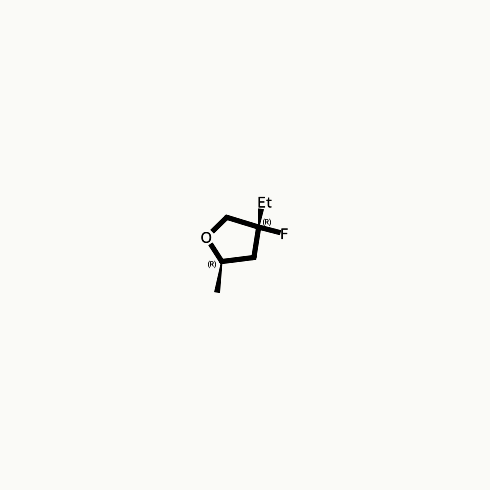 CC[C@]1(F)CO[C@H](C)C1